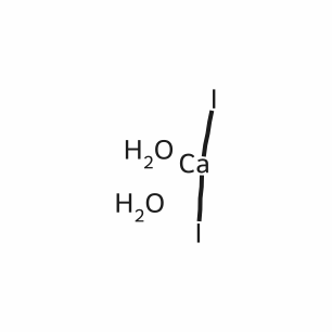 O.O.[I][Ca][I]